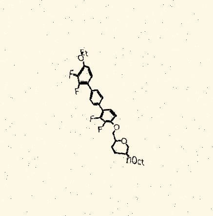 CCCCCCCCC1CCC(COc2ccc(-c3ccc(-c4ccc(OCC)c(F)c4F)cc3)c(F)c2F)OC1